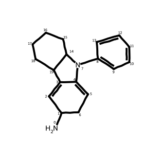 NC1C=C2C(=CC1)N(c1ccccc1)C1CCCCC21